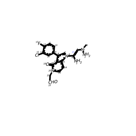 CN(N)/C=C(\N)n1cc(-c2ccc(F)c(Cl)c2)c2c(=O)n(CC=O)ccc21